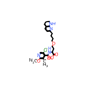 COc1ncc(Cl)c(C(=O)NC(CCOCCCCc2ccc3c(n2)NCCC3)C(=O)O)c1C